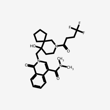 CN(C)C(=O)c1cn(CC2(O)CCN(C(=O)CCC(F)(F)F)CC23CCCC3)c(=O)c2ccccc12